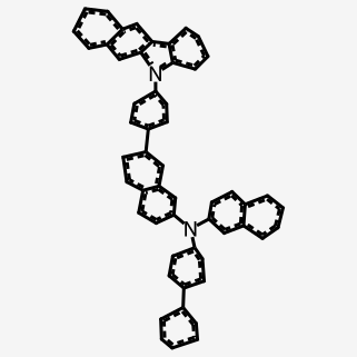 c1ccc(-c2ccc(N(c3ccc4ccccc4c3)c3ccc4ccc(-c5ccc(-n6c7ccccc7c7cc8ccccc8cc76)cc5)cc4c3)cc2)cc1